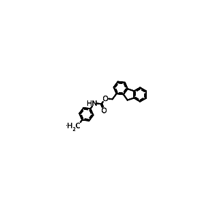 [CH2]c1ccc(NC(=O)OCc2cccc3c2Cc2ccccc2-3)cc1